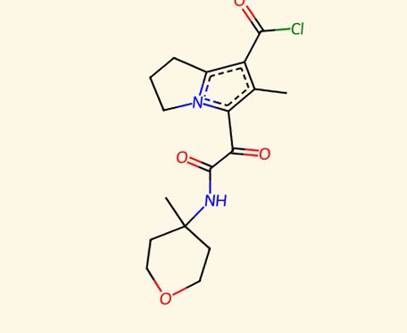 Cc1c(C(=O)Cl)c2n(c1C(=O)C(=O)NC1(C)CCOCC1)CCC2